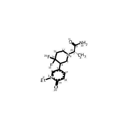 CCn1cc(C2CN([C@@H](C)C(N)=O)CCC2(F)F)ccc1=O